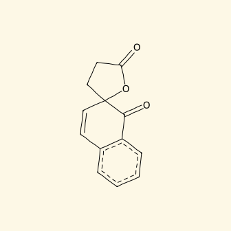 O=C1CCC2(C=Cc3ccccc3C2=O)O1